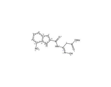 COC(=O)C/C(=N\O)NC(=O)c1cc2cccc([N+](=O)[O-])c2[nH]1